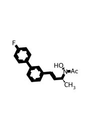 CC(=O)N(O)[C@H](C)/C=C/c1cccc(-c2ccc(F)cc2)c1